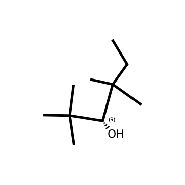 CCC(C)(C)[C@H](O)C(C)(C)C